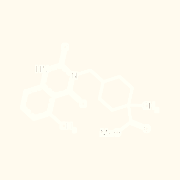 COC(=O)C1(C)CCC(Cn2c(=O)[nH]c3cccc(C)c3c2=O)CC1